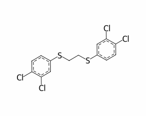 Clc1ccc(SCCSc2ccc(Cl)c(Cl)c2)cc1Cl